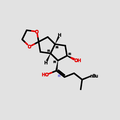 CCCCC(C)C/C=C(/O)[C@@H]1[C@H]2CC3(C[C@H]2C[C@H]1O)OCCO3